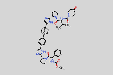 COC(=O)N[C@@H](C(=O)N1CCC[C@H]1c1ncc(-c2ccc(C34CCC(c5cnc([C@@H]6CCCN6C(=O)[C@@H](NC(=O)N6CCC(=O)CC6)C(C)C)[nH]5)(CC3)CC4)cc2)[nH]1)c1ccccc1